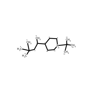 CC(CC(C)(C)C)C1CCN(C(C)(C)C)CC1